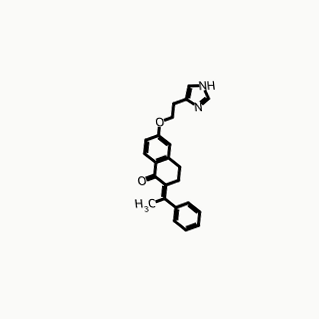 C/C(=C1/CCc2cc(OCCc3c[nH]cn3)ccc2C1=O)c1ccccc1